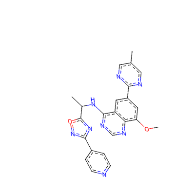 COc1cc(-c2ncc(C)cn2)cc2c(NC(C)c3nc(-c4ccncc4)no3)ncnc12